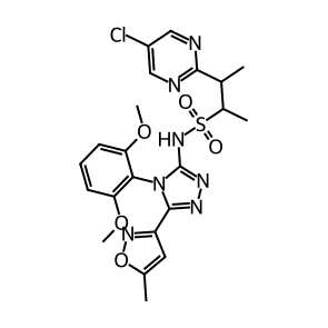 COc1cccc(OC)c1-n1c(NS(=O)(=O)C(C)C(C)c2ncc(Cl)cn2)nnc1-c1cc(C)on1